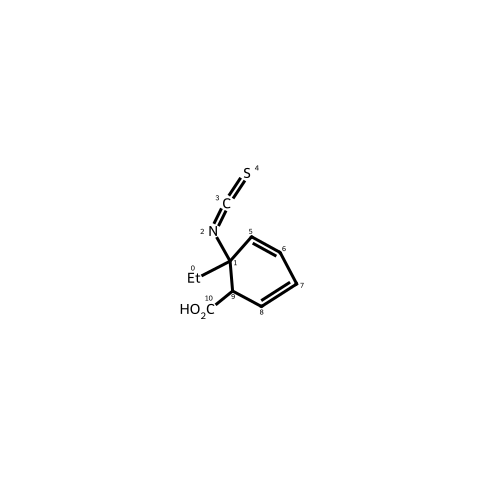 CCC1(N=C=S)C=CC=CC1C(=O)O